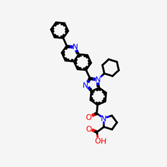 O=C(O)C1CCCN1C(=O)c1ccc2c(c1)nc(-c1ccc3nc(-c4ccccc4)ccc3c1)n2C1CCCCC1